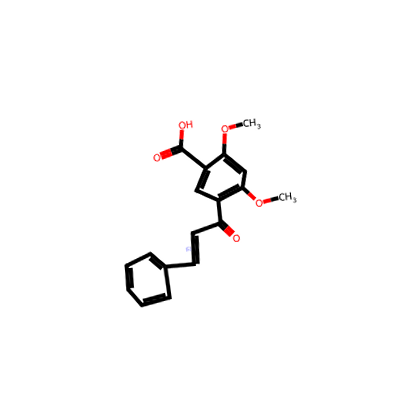 COc1cc(OC)c(C(=O)/C=C/c2ccccc2)cc1C(=O)O